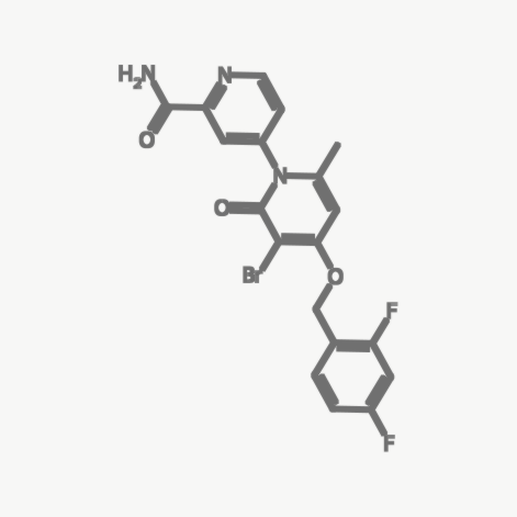 Cc1cc(OCc2ccc(F)cc2F)c(Br)c(=O)n1-c1ccnc(C(N)=O)c1